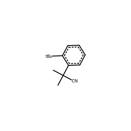 CC(C)(C)c1ccccc1C(C)(C)C#N